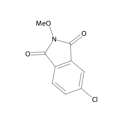 CON1C(=O)c2ccc(Cl)cc2C1=O